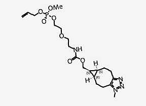 C=CCOP(=O)(OC)OCCOCCNC(=O)OC[C@@H]1[C@@H]2CCc3c(nnn3C)CC[C@@H]21